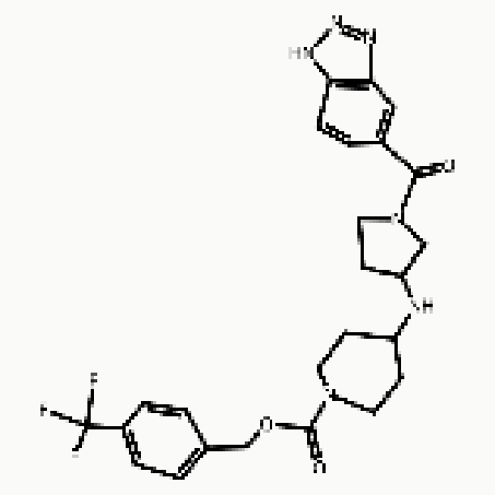 O=C(OCc1ccc(C(F)(F)F)cc1)N1CCC(NC2CCN(C(=O)c3ccc4[nH]nnc4c3)C2)CC1